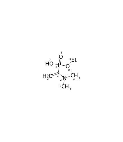 C=C(N(C)C)P(=O)(O)OCC